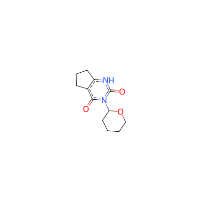 O=c1[nH]c2c(c(=O)n1C1CCCCO1)CCC2